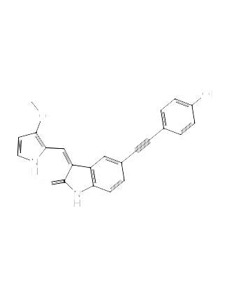 COc1cc[nH]c1C=C1C(=O)Nc2ccc(C#Cc3ccc(O)cc3)cc21